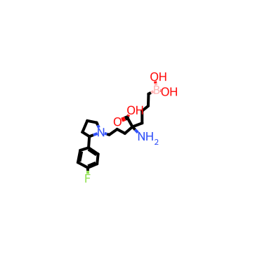 NC(CCCCB(O)O)(CCCN1CCCC1c1ccc(F)cc1)C(=O)O